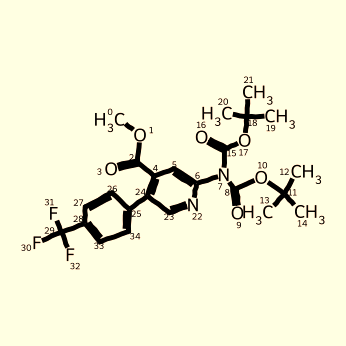 COC(=O)c1cc(N(C(=O)OC(C)(C)C)C(=O)OC(C)(C)C)ncc1-c1ccc(C(F)(F)F)cc1